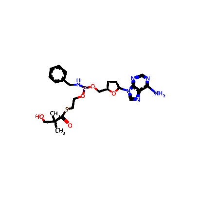 CC(C)(CO)C(=O)SCCOP(NCc1ccccc1)OCC1CCC(n2cnc3c(N)ncnc32)O1